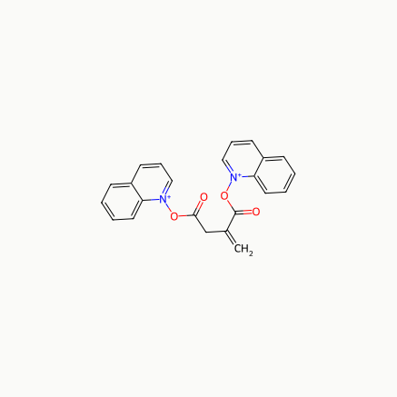 C=C(CC(=O)O[n+]1cccc2ccccc21)C(=O)O[n+]1cccc2ccccc21